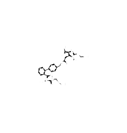 CCSc1nc2c(C)sc(C(=O)OCc3ccc(-c4ccccc4-c4nn(COC)c(=O)n4C)cc3)c2n1C